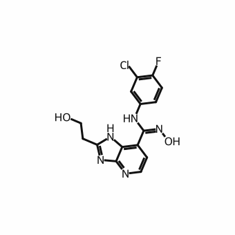 OCCc1nc2nccc(/C(=N\O)Nc3ccc(F)c(Cl)c3)c2[nH]1